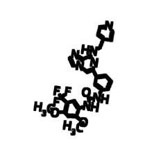 COc1cc(OC)c(C(F)(F)F)cc1NC(=O)Nc1cccc(-c2cn3ccnc3c(NCc3ccncc3)n2)c1